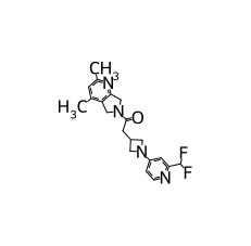 Cc1cc(C)c2c(n1)CN(C(=O)CC1CN(c3ccnc(C(F)F)c3)C1)C2